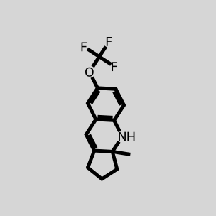 CC12CCCC1=Cc1cc(OC(F)(F)F)ccc1N2